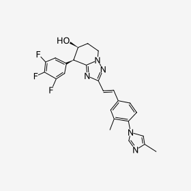 Cc1cn(-c2ccc(/C=C/c3nc4n(n3)CC[C@H](O)[C@@H]4c3cc(F)c(F)c(F)c3)cc2C)cn1